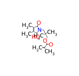 C=C(C)C(=O)OCC(C)(C)CN1C(=O)C(C)=C(C)C1O